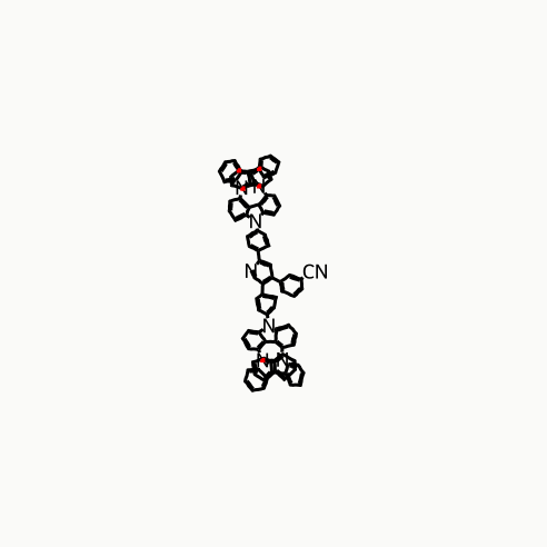 N#Cc1cccc(-c2cc(-c3ccc(-n4c5cccc(-n6c7ccccc7c7ccccc76)c5c5c(-n6c7ccccc7c7ccccc76)cccc54)cc3)ncc2-c2ccc(-n3c4cccc(-n5c6ccccc6c6ccccc65)c4c4c(-n5c6ccccc6c6ccccc65)cccc43)cc2)c1